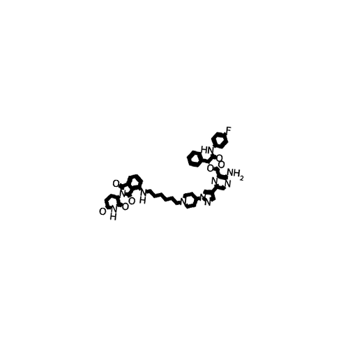 Nc1ncc(-c2cnn(C3CCN(CCCCCCNc4cccc5c4C(=O)N(C4CCC(=O)NC4=O)C5=O)CC3)c2)nc1C(=O)O[C@@H](C(=O)Nc1ccc(F)cc1)c1ccccc1